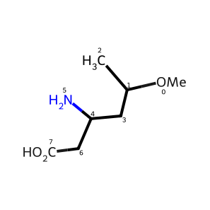 COC(C)CC(N)CC(=O)O